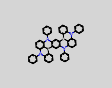 c1ccc(N2c3ccccc3B3c4cc5c(cc4N(c4ccccc4)c4cccc2c43)B2c3ccccc3N(c3ccccc3)c3cccc(c32)N5c2ccccc2)cc1